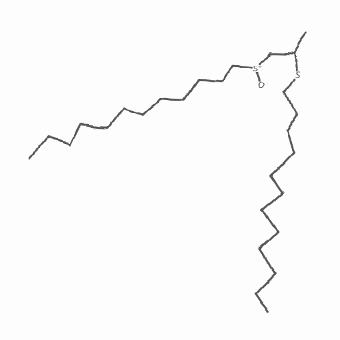 [CH2]C(C[S+]([O-])CCCCCCCCCCCC)SCCCCCCCCCCCC